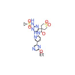 CCOc1cncc(-c2ccc(NC(=O)C3(c4ccnc(NS(=O)(=O)C5CC5)n4)CCS(=O)(=O)CC3)nc2)n1